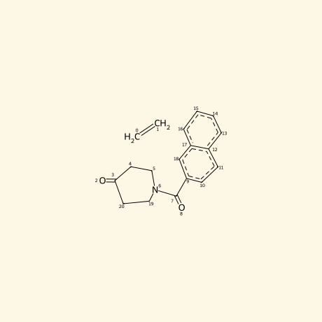 C=C.O=C1CCN(C(=O)c2ccc3ccccc3c2)CC1